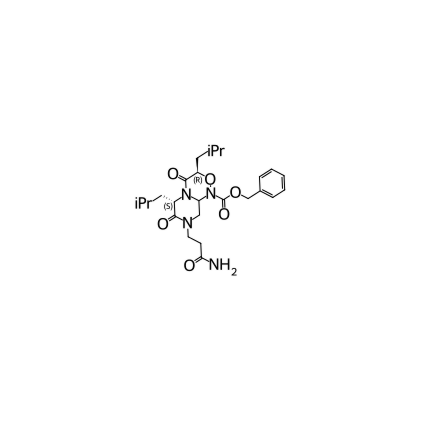 CC(C)C[C@H]1ON(C(=O)OCc2ccccc2)C2CN(CCC(N)=O)C(=O)[C@H](CC(C)C)N2C1=O